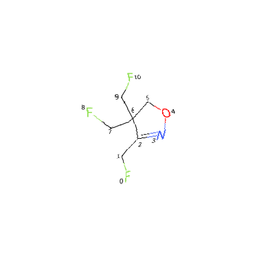 FCC1=NOCC1(CF)CF